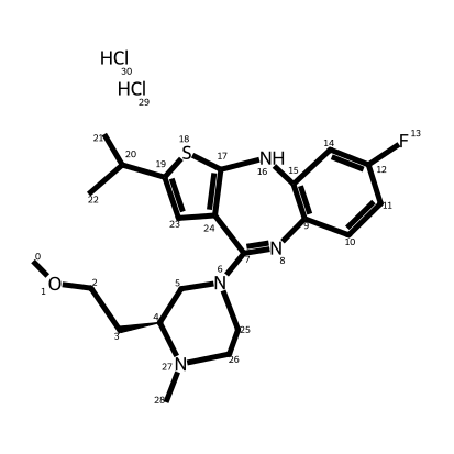 COCC[C@H]1CN(C2=Nc3ccc(F)cc3Nc3sc(C(C)C)cc32)CCN1C.Cl.Cl